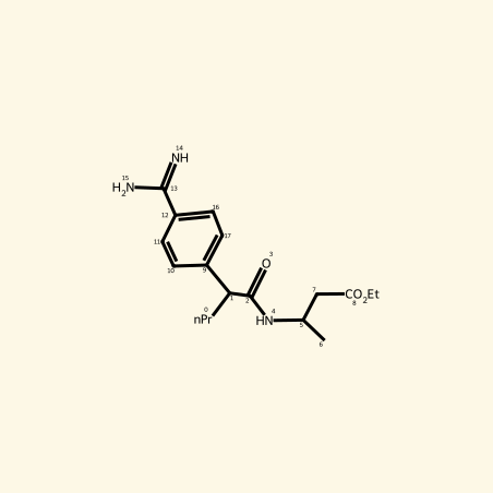 CCCC(C(=O)NC(C)CC(=O)OCC)c1ccc(C(=N)N)cc1